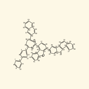 C1=C(c2ccc(-c3ccccc3)cc2)N=C(c2ccc(-c3ccc4sc5c6ccccc6ccc5c4c3)c3oc4ccccc4c23)N=C(c2ccc3ccccc3c2)C1